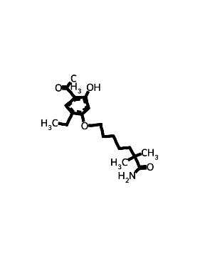 CCc1cc(C(C)=O)c(O)cc1OCCCCCC(C)(C)C(N)=O